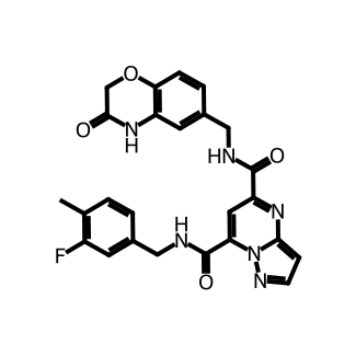 Cc1ccc(CNC(=O)c2cc(C(=O)NCc3ccc4c(c3)NC(=O)CO4)nc3ccnn23)cc1F